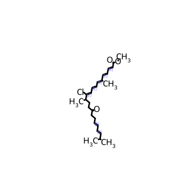 COC(=O)/C=C/C=C/C(C)=C/C=C/C=C(\Cl)C(C)CCC(=O)CC/C=C/C=C/C(C)C